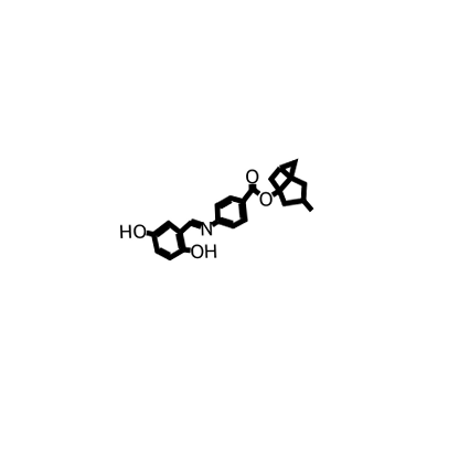 CC1CC2(OC(=O)c3ccc(/N=C/c4cc(O)ccc4O)cc3)CC3CC32C1